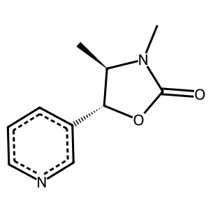 C[C@@H]1[C@@H](c2cccnc2)OC(=O)N1C